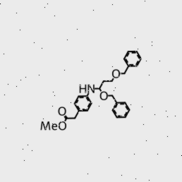 COC(=O)Cc1ccc(NC(CCOCc2ccccc2)OCc2ccccc2)cc1